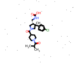 CC(C)C(=O)N1CCC(C(=O)N2C[C@H](CNC(=O)O)[C@](C)(c3ccc(Cl)cc3)C2)CC1